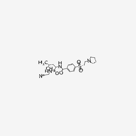 CC(C)CC(NC(=O)c1ccc(S(=O)(=O)CCN2CCCC2)cc1)C(=O)NCC#N